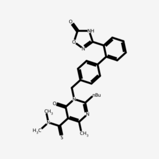 CCCCc1nc(C)c(C(=S)N(C)C)c(=O)n1Cc1ccc(-c2ccccc2-c2noc(=O)[nH]2)cc1